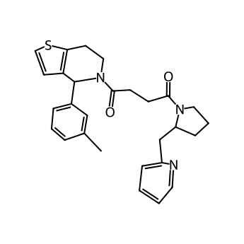 Cc1cccc(C2c3ccsc3CCN2C(=O)CCC(=O)N2CCCC2Cc2ccccn2)c1